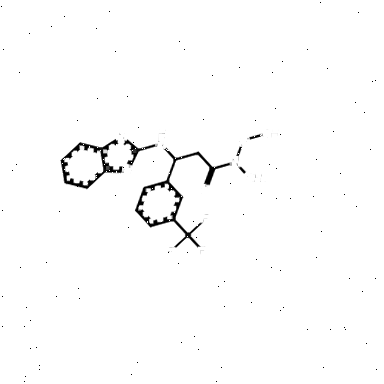 CON(C)C(=O)CC(Nc1nc2ccccc2o1)c1cccc(C(F)(F)F)c1